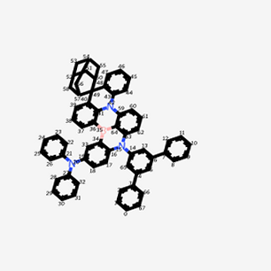 c1ccc(-c2cc(-c3ccccc3)cc(N3c4ccc(N(c5ccccc5)c5ccccc5)cc4B4c5cccc6c5N(c5ccccc5C65C6CC7CC(C6)CC5C7)c5cccc3c54)c2)cc1